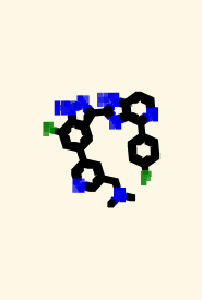 CN(C)Cc1cncc(-c2cc(F)c3[nH]nc(-c4nc5c(-c6ccc(F)cc6)nccc5[nH]4)c3c2)c1